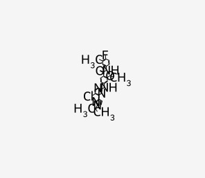 COc1cc(Nc2ncc(Cl)c(-c3ccn(C(C)C)n3)n2)ccc1C(=O)Nc1ccc(F)c(C)c1